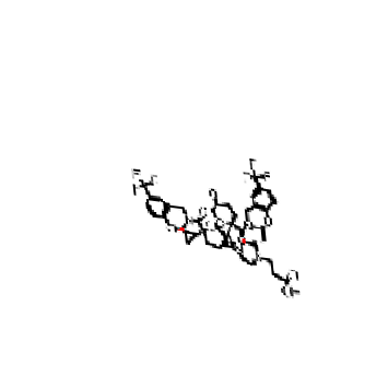 O=C(O)CCN1CCN([C@@H]2CC[C@@](C(=O)N3COc4ccc(C(F)(F)F)cc4C3)(C3CC3)OC2)C[C@@H]1CC1Oc2ccc(C(F)(F)F)cc2CN1C(=O)[C@@]1(C2CC2)CCC(=O)CO1